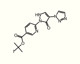 CC(C)(I)OC(=O)c1ccc(-n2[nH]cc(-n3ccnn3)c2=O)nc1